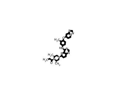 C=CC(=O)N1[C@H](C)CN(c2ccc3ncnc(Nc4ccc(Oc5ccn6ncnc6c5)c(C)c4)c3n2)C[C@H]1C